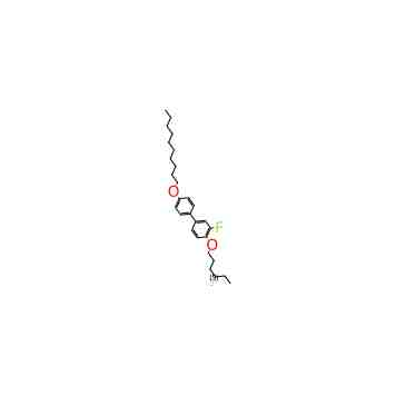 CCCCCCCCCCOc1ccc(-c2ccc(OCCC[C@@H](C)CC)c(F)c2)cc1